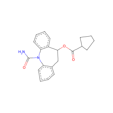 NC(=O)N1c2ccccc2CC(OC(=O)C2CCCC2)c2ccccc21